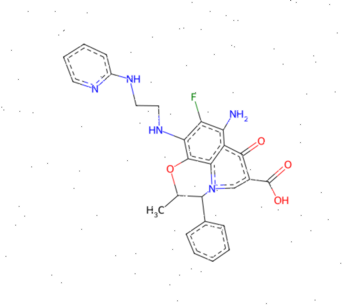 CC1Oc2c(NCCNc3ccccn3)c(F)c(N)c3c(=O)c(C(=O)O)cn(c23)C1c1ccccc1